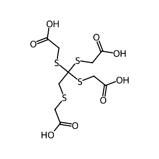 O=C(O)CSCC(SCC(=O)O)(SCC(=O)O)SCC(=O)O